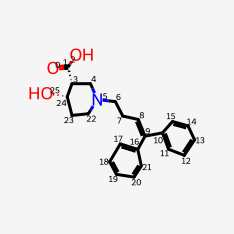 O=C(O)[C@@H]1CN(CCC=C(c2ccccc2)c2ccccc2)CC[C@@H]1O